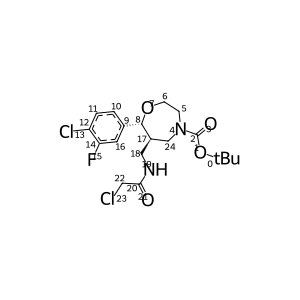 CC(C)(C)OC(=O)N1CCO[C@@H](c2ccc(Cl)c(F)c2)[C@H](CNC(=O)CCl)C1